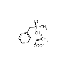 C=CC(=O)[O-].CC[N+](C)(C)Cc1ccccc1